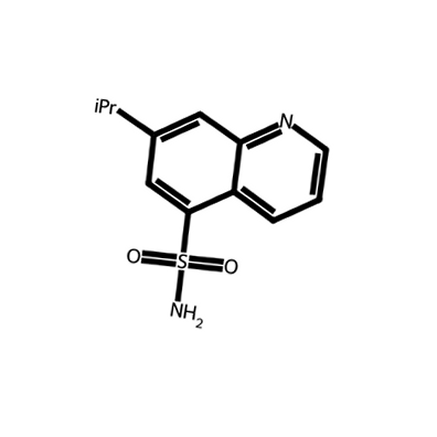 CC(C)c1cc(S(N)(=O)=O)c2cccnc2c1